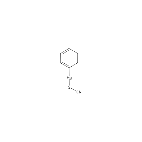 N#C[S][Hg][c]1ccccc1